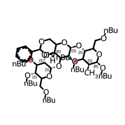 CCCCOCC1O[C@@H](OCCCC)[C@@H](C)C(OCCCC)[C@@H]1O[C@@H]1OC2COC(c3ccccc3)O[C@H]2C(O[C@@H]2OC(COCCCC)[C@H](OCCCC)C(OCCCC)[C@@H]2O)[C@H]1OCCCC